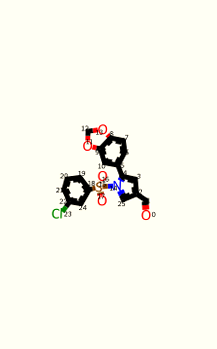 O=Cc1cc(-c2ccc3c(c2)OCO3)n(S(=O)(=O)c2cccc(Cl)c2)c1